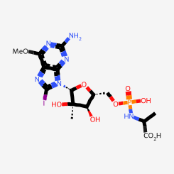 COc1nc(N)nc2c1nc(I)n2[C@@H]1O[C@H](COP(=O)(O)NC(C)C(=O)O)[C@@H](O)[C@@]1(C)O